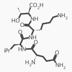 CC(C)C[C@H](NC(=O)[C@@H](N)CCC(N)=O)C(=O)N[C@@H](CCCCN)C(=O)N[C@H](C(=O)O)[C@@H](C)O